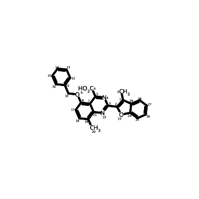 Cc1c(-c2nc(C(=O)O)c3c(OCc4ccccc4)ccc(C)c3n2)oc2ccccc12